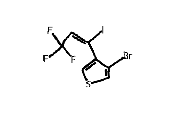 FC(F)(F)/C=C(/I)c1cscc1Br